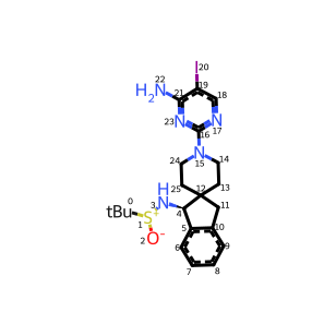 CC(C)(C)[S+]([O-])N[C@@H]1c2ccccc2CC12CCN(c1ncc(I)c(N)n1)CC2